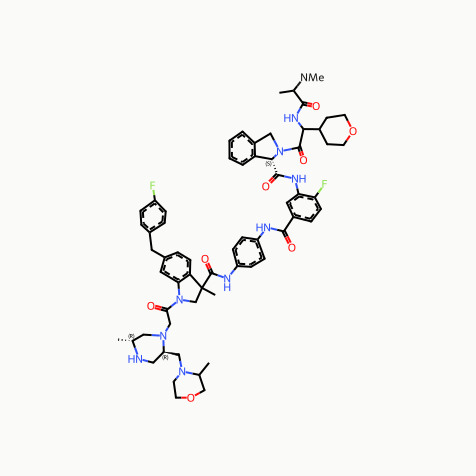 CNC(C)C(=O)NC(C(=O)N1Cc2ccccc2[C@H]1C(=O)Nc1cc(C(=O)Nc2ccc(NC(=O)C3(C)CN(C(=O)CN4C[C@@H](C)NC[C@@H]4CN4CCOCC4C)c4cc(Cc5ccc(F)cc5)ccc43)cc2)ccc1F)C1CCOCC1